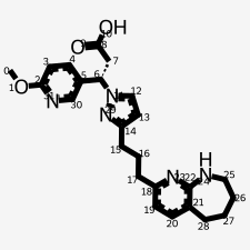 COc1ccc([C@H](CC(=O)O)n2ccc(CCCc3ccc4c(n3)NCCCC4)n2)cn1